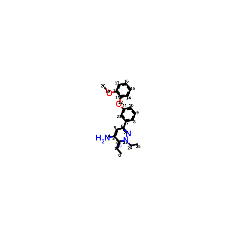 C/C=C1/C(N)=CC(c2cccc(Oc3ccccc3OC)c2)=NN1CC